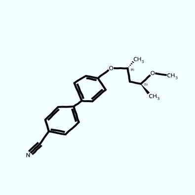 CO[C@@H](C)C[C@@H](C)Oc1ccc(-c2ccc(C#N)cc2)cc1